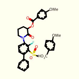 COc1ccc(C(=O)O)cc1.COc1ccc(C(=O)OC2CCCN(c3ccc(-c4ccccc4)c(S(C)(=O)=O)c3F)C2=O)cc1